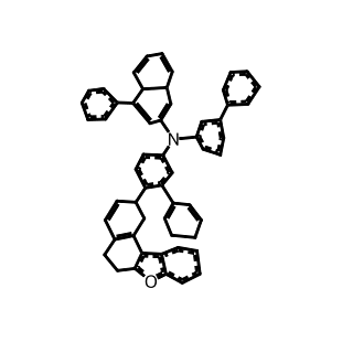 C1=CC2C=C(N(c3cccc(-c4ccccc4)c3)c3ccc(C4C=CC5=C(C4)c4c(oc6ccccc46)CC5)c(C4=CCCC=C4)c3)C=C(c3ccccc3)C2C=C1